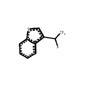 FC(c1csc2ccccc12)C(F)(F)F